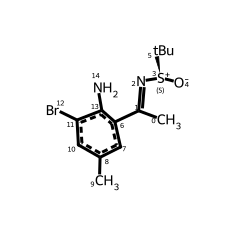 CC(=N[S@+]([O-])C(C)(C)C)c1cc(C)cc(Br)c1N